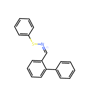 C(=N/Sc1ccccc1)/c1ccccc1-c1ccccc1